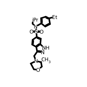 CCc1ccc(N(CC(C)C)S(=O)(=O)c2ccc3c(CN4CCOC[C@@H]4C)n[nH]c3c2)cc1